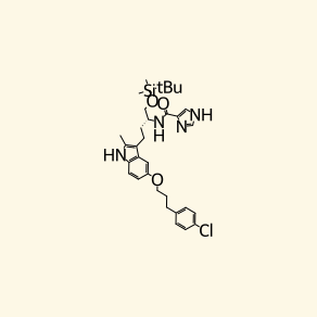 Cc1[nH]c2ccc(OCCCc3ccc(Cl)cc3)cc2c1CC[C@H](CO[Si](C)(C)C(C)(C)C)NC(=O)c1c[nH]cn1